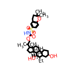 CC[C@@H]1C2C[C@H](O)CCC2(C)[C@H]2CCC3(C)C(C(C)COC(=O)NS(=O)(=O)c4ccc5c(c4)CCC(C)(C)O5)CC[C@H]3[C@@H]2[C@@H]1O